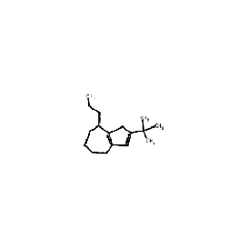 CCCC1CCCCC2=C1CC(C(C)(C)C)=C2